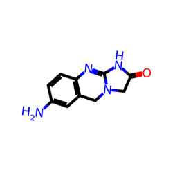 Nc1ccc2c(c1)CN1CC(=O)NC1=N2